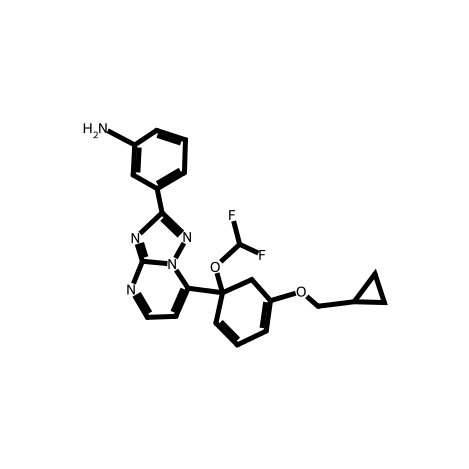 Nc1cccc(-c2nc3nccc(C4(OC(F)F)C=CC=C(OCC5CC5)C4)n3n2)c1